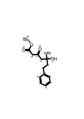 CCCC(O)(CCc1ccccc1)CC(=O)CC(=O)OC(C)(C)C